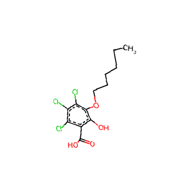 CCCCCCOc1c(O)c(C(=O)O)c(Cl)c(Cl)c1Cl